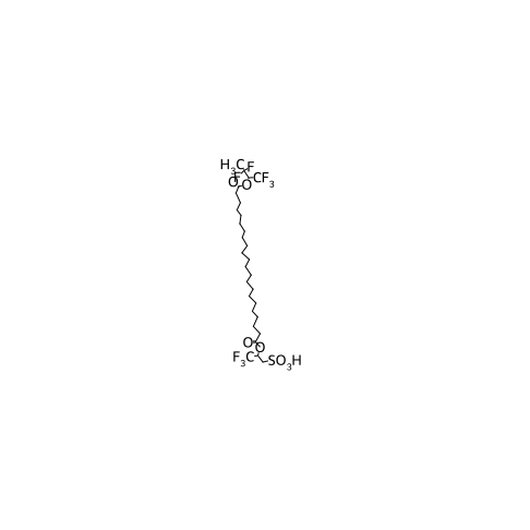 CC(F)(F)C(OC(=O)CCCCCCCCCCCCCCCCCCCCC(=O)OC(CS(=O)(=O)O)C(F)(F)F)C(F)(F)F